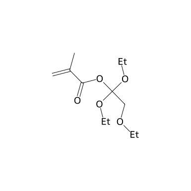 C=C(C)C(=O)OC(COCC)(OCC)OCC